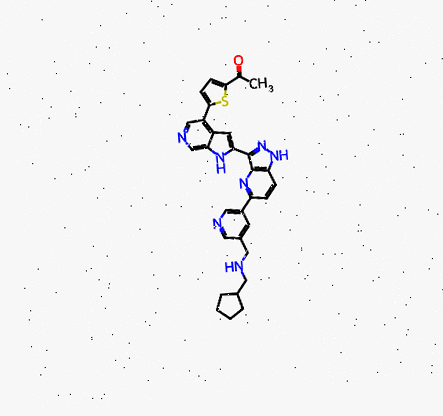 CC(=O)c1ccc(-c2cncc3[nH]c(-c4n[nH]c5ccc(-c6cncc(CNCC7CCCC7)c6)nc45)cc23)s1